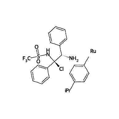 Cc1ccc(C(C)C)cc1.N[C@@H](c1ccccc1)[C@@](Cl)(NS(=O)(=O)C(F)(F)F)c1ccccc1.[Ru]